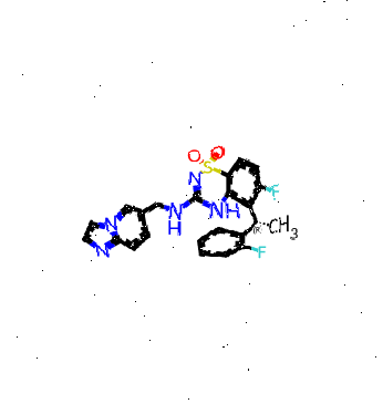 C[C@H](c1ccccc1F)c1c(F)ccc2c1NC(NCc1ccc3nccn3c1)=NS2(=O)=O